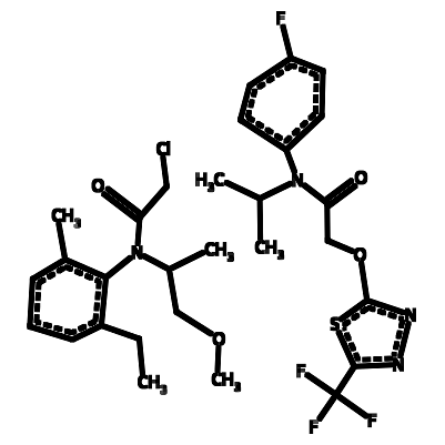 CC(C)N(C(=O)COc1nnc(C(F)(F)F)s1)c1ccc(F)cc1.CCc1cccc(C)c1N(C(=O)CCl)C(C)COC